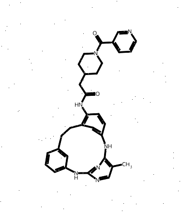 Cc1cnc2nc1Nc1ccc(NC(=O)CC3CCN(C(=O)c4cccnc4)CC3)c(c1)CCc1cccc(c1)N2